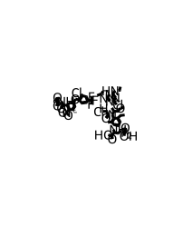 CCNc1nc(Cl)nc(NC(C)C)n1.CCc1cccc(C)c1N(C(=O)CCl)C(C)COC.CP(=O)(O)CCC(N)C(=O)O.CS(=O)(=O)NC(=O)c1cc(Oc2ccc(C(F)(F)F)cc2Cl)ccc1[N+](=O)[O-]